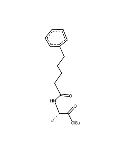 CC(C)COC(=O)[C@H](C)NC(=O)CCCCc1ccccc1